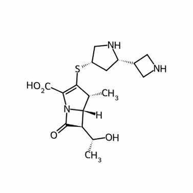 C[C@@H](O)[C@H]1C(=O)N2C(C(=O)O)=C(S[C@@H]3CN[C@H](C4CNC4)C3)[C@H](C)[C@H]12